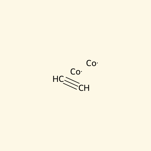 C#C.[Co].[Co]